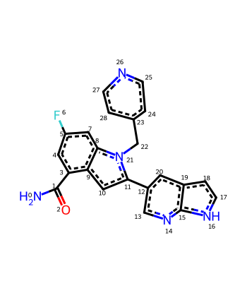 NC(=O)c1cc(F)cc2c1cc(-c1cnc3[nH]ccc3c1)n2Cc1ccncc1